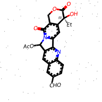 CC[C@@]1(O)C(=O)OCc2c1cc1n(c2=O)C(OC(C)=O)c2cc3cc(C=O)ccc3nc2-1